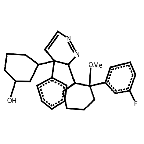 COC1(c2cccc(F)c2)CCCCC1C1N=NC=CC1(c1ccccc1)C1CCCC(O)C1